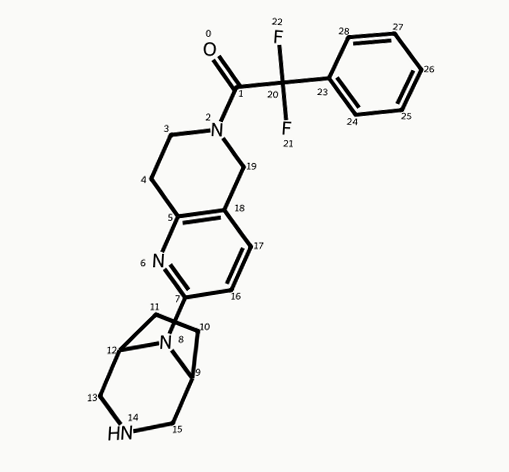 O=C(N1CCc2nc(N3C4CCC3CNC4)ccc2C1)C(F)(F)c1ccccc1